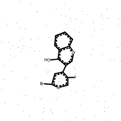 Oc1c(-c2cc(Br)ncc2F)cnc2ccccc12